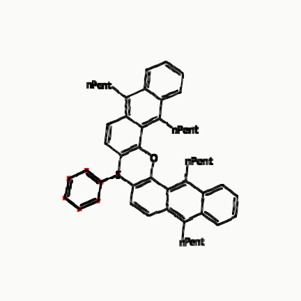 CCCCCc1c2ccccc2c(CCCCC)c2c(Oc3c(Sc4ccccc4)ccc4c(CCCCC)c5ccccc5c(CCCCC)c34)c(Sc3ccccc3)ccc12